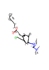 CCN(C)/C=N/c1cc(Cl)c(C(=O)OCCCC(F)(F)F)cc1C